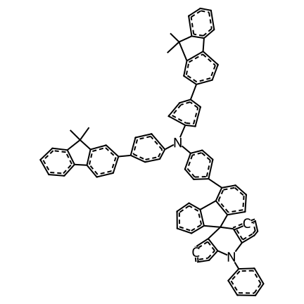 CC1(C)c2ccccc2-c2ccc(-c3ccc(N(c4ccc(-c5ccc6c(c5)C(C)(C)c5ccccc5-6)cc4)c4ccc(-c5cccc6c5-c5ccccc5C65c6ccccc6N(c6ccccc6)c6ccccc65)cc4)cc3)cc21